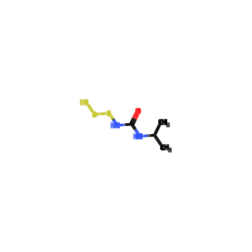 CC(C)NC(=O)NSSS